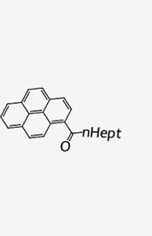 CCCCCCCC(=O)c1ccc2ccc3cccc4ccc1c2c34